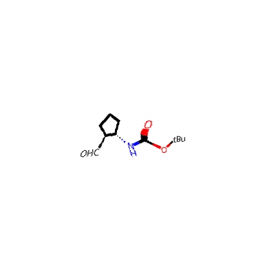 CC(C)(C)OC(=O)N[C@H]1CCC[C@@H]1C=O